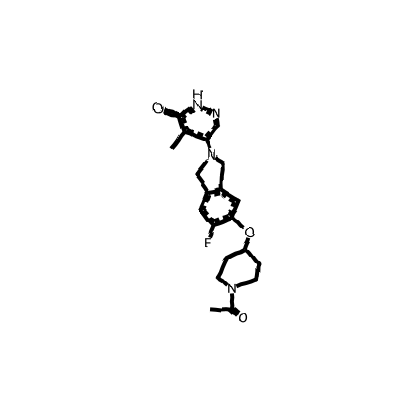 CC(=O)N1CCC(Oc2cc3c(cc2F)CN(c2cn[nH]c(=O)c2C)C3)CC1